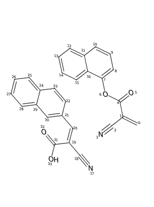 C=C(C#N)C(=O)Oc1cccc2ccccc12.N#CC(=Cc1ccc2ccccc2c1)C(=O)O